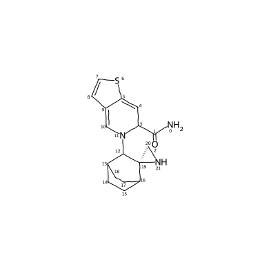 NC(=O)C1C=c2sccc2=CN1C1C2CCC(CC2)[C@@]12CN2